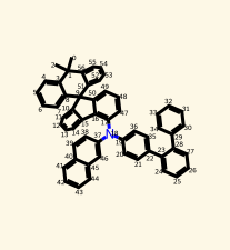 CC1(C)c2ccccc2C2(c3ccccc3-c3c(N(c4ccc(-c5ccccc5-c5ccccc5)cc4)c4ccc5ccccc5c4)cccc32)c2ccccc21